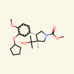 COC(=O)N1C[C@@H](c2ccc(OC)c(OC3CCCC3)c2)[C@](C)(C(C)(C)O)C1